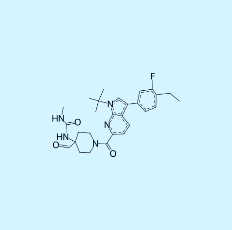 CCc1ccc(-c2cn(C(C)(C)C)c3nc(C(=O)N4CCC(C=O)(NC(=O)NC)CC4)ccc23)cc1F